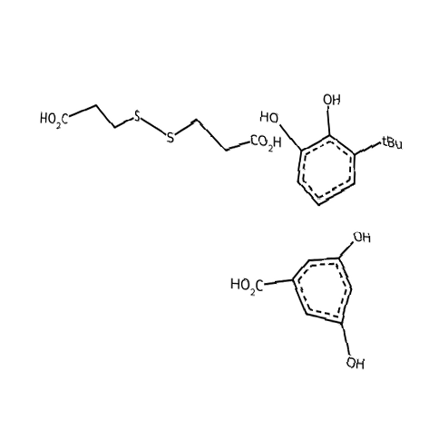 CC(C)(C)c1cccc(O)c1O.O=C(O)CCSSCCC(=O)O.O=C(O)c1cc(O)cc(O)c1